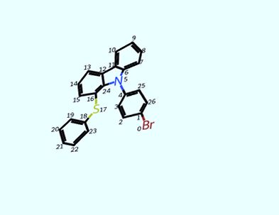 Brc1ccc(-n2c3ccccc3c3cccc(Sc4ccccc4)c32)cc1